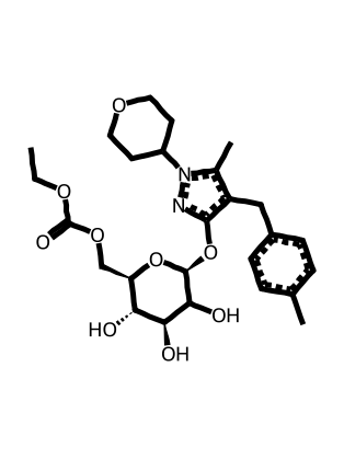 CCOC(=O)OC[C@H]1O[C@@H](Oc2nn(C3CCOCC3)c(C)c2Cc2ccc(C)cc2)C(O)[C@@H](O)[C@@H]1O